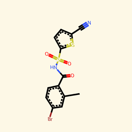 Cc1cc(Br)ccc1C(=O)NS(=O)(=O)c1ccc(C#N)s1